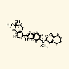 CN(C(=O)CN1CCCCC1=O)c1ccc2cc(-c3n[nH]c4c3CCC(C)(C)C4)[nH]c2c1